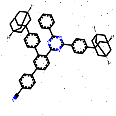 N#Cc1ccc(-c2ccc(-c3nc(-c4ccccc4)nc(-c4ccc(C56C[C@H]7C[C@@H](C5)C[C@@H](C6)C7)cc4)n3)c(-c3ccc(C45CC6C[C@H](C4)C[C@@H](C6)C5)cc3)c2)cc1